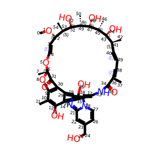 CO[C@H]1/C=C/O[C@@]2(C)Oc3c(C)c(O)c4c(O)c(c5c(nc6cc(CO)ccn65)c4c3C2=O)NC(=O)/C(C)=C\C=C\[C@H](C)[C@H](O)[C@@H](C)[C@@H](O)[C@@H](C)[C@H](O)[C@@H]1C